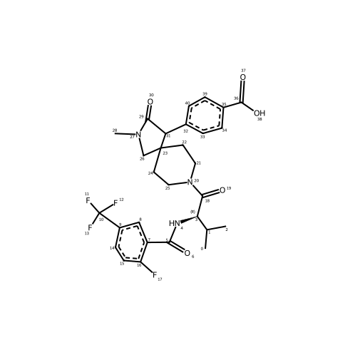 CC(C)[C@@H](NC(=O)c1cc(C(F)(F)F)ccc1F)C(=O)N1CCC2(CC1)CN(C)C(=O)C2c1ccc(C(=O)O)cc1